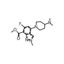 COC(=O)c1c(F)cc(N2CCC(N(C)C)CC2)c2cn(C)nc12